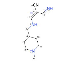 CN1CCC(CN/C=C(/C#N)C=N)CC1